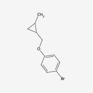 CC1CC1COc1ccc(Br)cc1